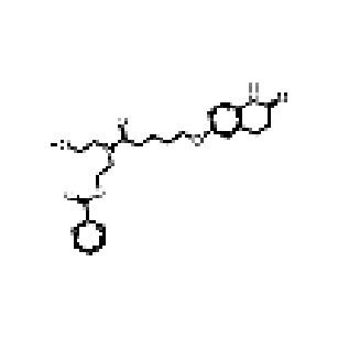 O=C1CCc2cc(OCCCCC(=O)N(CCO)CCOC(=O)c3ccccc3)ccc2N1